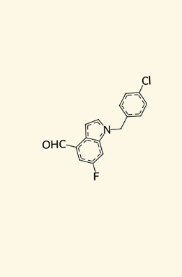 O=Cc1cc(F)cc2c1ccn2Cc1ccc(Cl)cc1